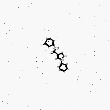 O=C(Nc1cccc(F)c1)c1cnn(-c2ccccc2)c1